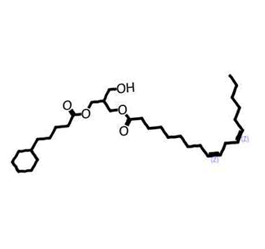 CCCCC/C=C\C/C=C\CCCCCCCC(=O)OCC(CO)COC(=O)CCCCC1CCCCC1